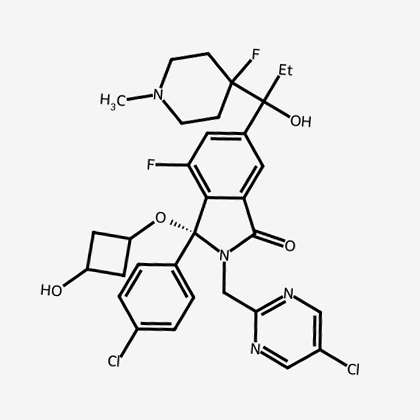 CCC(O)(c1cc(F)c2c(c1)C(=O)N(Cc1ncc(Cl)cn1)[C@@]2(OC1CC(O)C1)c1ccc(Cl)cc1)C1(F)CCN(C)CC1